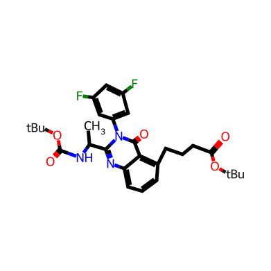 CC(NC(=O)OC(C)(C)C)c1nc2cccc(CCCC(=O)OC(C)(C)C)c2c(=O)n1-c1cc(F)cc(F)c1